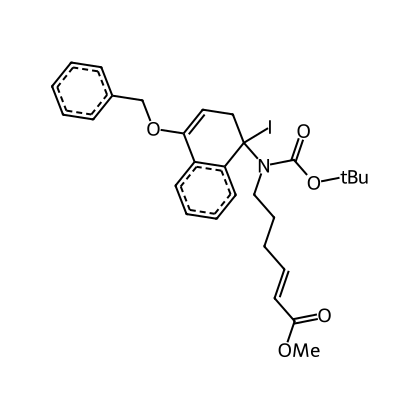 COC(=O)/C=C/CCCN(C(=O)OC(C)(C)C)C1(I)CC=C(OCc2ccccc2)c2ccccc21